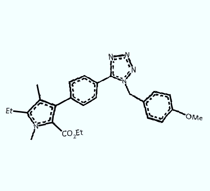 CCOC(=O)c1c(-c2ccc(-c3nnnn3Cc3ccc(OC)cc3)cc2)c(C)c(CC)n1C